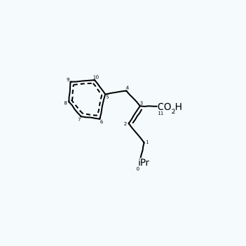 CC(C)CC=C(Cc1ccccc1)C(=O)O